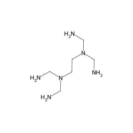 NCN(CN)CCN(CN)CN